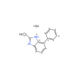 O=S(=O)(O)c1nc2cccc(-c3ccccc3)c2[nH]1.[Sn]